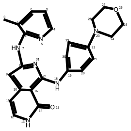 Cc1cccnc1Nc1cc2cc[nH]c(=O)c2c(Nc2ccc(N3CCOCC3)cc2)n1